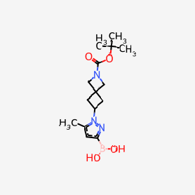 Cc1cc(B(O)O)nn1C1CC2(C1)CN(C(=O)OC(C)(C)C)C2